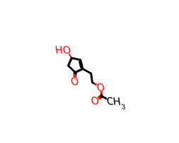 CC(=O)OCCC1=C[C@H](O)CC1=O